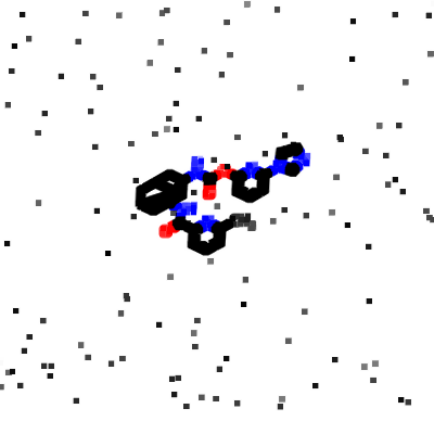 Cc1cccc(C(=O)NC23CC4CC(CC(NC(=O)Oc5cccc(-n6ccnc6)n5)(C4)C2)C3)n1